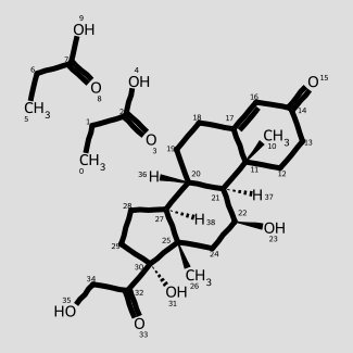 CCC(=O)O.CCC(=O)O.C[C@]12CCC(=O)C=C1CC[C@@H]1[C@@H]2[C@@H](O)C[C@@]2(C)[C@H]1CC[C@]2(O)C(=O)CO